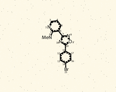 CNc1ncccc1-c1noc(-c2ccc(Br)cc2)n1